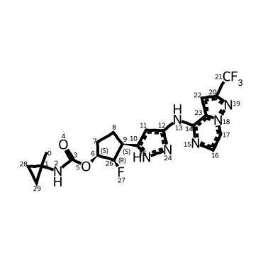 CC1(NC(=O)O[C@H]2CC[C@@H](c3cc(Nc4nccn5nc(C(F)(F)F)cc45)n[nH]3)[C@H]2F)CC1